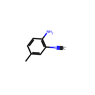 [C-]#[N+]c1cc(C)ccc1N